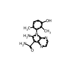 Cc1ccc(O)c(C)c1-n1c(N)c(C(N)=O)c2nccnc21